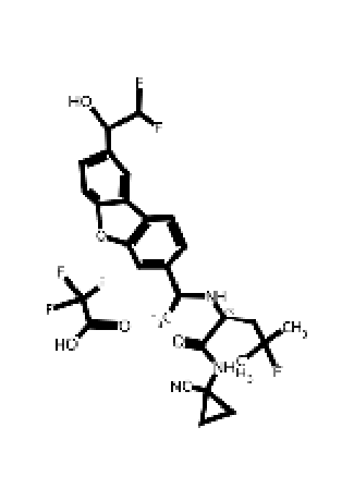 CC(C)(F)C[C@H](NC(c1ccc2c(c1)oc1ccc(C(O)C(F)F)cc12)C(F)(F)F)C(=O)NC1(C#N)CC1.O=C(O)C(F)(F)F